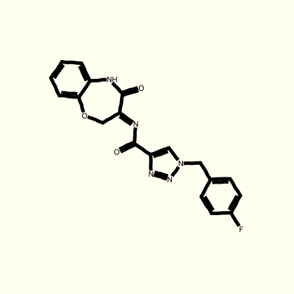 O=C1Nc2ccccc2OC/C1=N\C(=O)c1cn(Cc2ccc(F)cc2)nn1